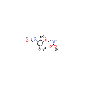 CN(CCOc1cc(C(=O)O)cc(NC[C@@H]2CCO2)c1[N+](=O)[O-])C(=O)OC(C)(C)C